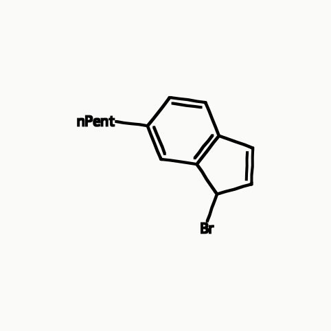 CCCCCc1ccc2c(c1)C(Br)C=C2